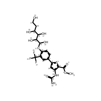 COC(=O)c1sc(-c2ccc(OC(O)C(O)C(O)C(O)CCO)c(C(F)(F)F)c2)cc1NC(N)=O